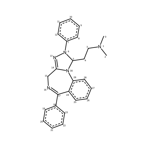 CN(C)CCC1N(c2ccccc2)N=C2CN=C(c3ccccc3)c3ccccc3N21